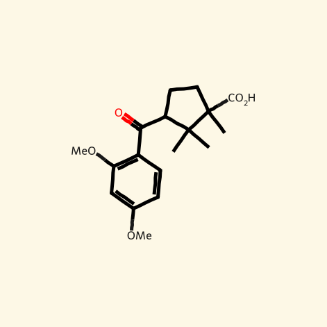 COc1ccc(C(=O)C2CCC(C)(C(=O)O)C2(C)C)c(OC)c1